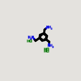 Cl.Cl.Cl.NCc1cc(CN)cc(CN)c1